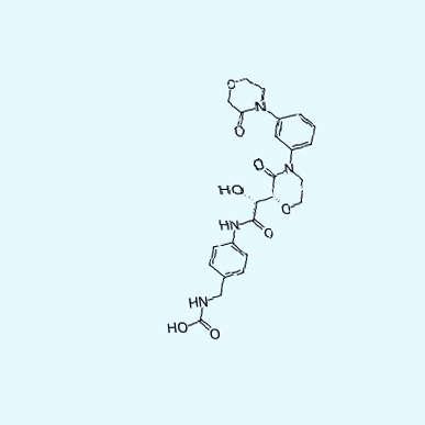 O=C(O)NCc1ccc(NC(=O)[C@H](O)[C@H]2OCCN(c3cccc(N4CCOCC4=O)c3)C2=O)cc1